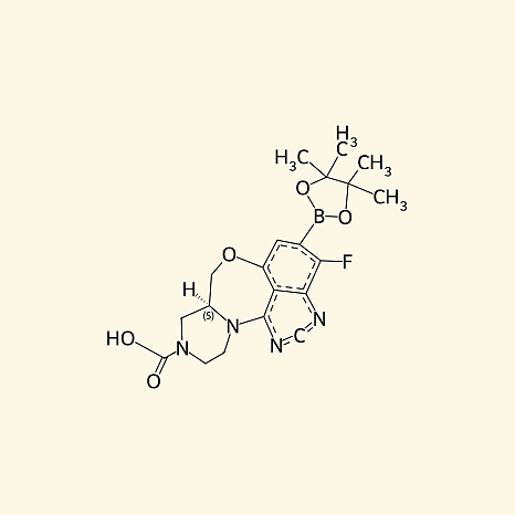 CC1(C)OB(c2cc3c4c(ncnc4c2F)N2CCN(C(=O)O)C[C@H]2CO3)OC1(C)C